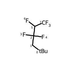 CC(C)(C)CC(F)(F)C(F)C(F)(F)F